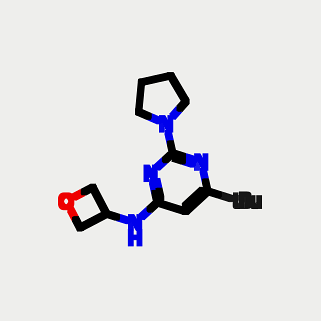 CC(C)(C)c1cc(NC2COC2)nc(N2CCCC2)n1